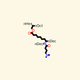 CCCCCCCCCCC(CCCCCCC(=O)OCC(CCCCCC)CCCCCCCC)N(CCCCCCCCCC)C(=O)CCCN(C)C